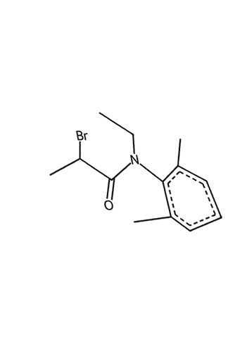 CCN(C(=O)C(C)Br)c1c(C)cccc1C